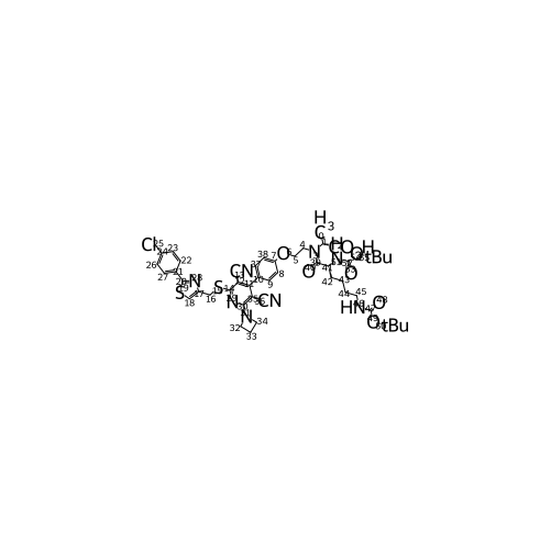 C[C@@H](C(=O)O)N(CCOc1ccc(-c2c(C#N)c(SCc3csc(-c4ccc(Cl)cc4)n3)nc(N3CCC3)c2C#N)cc1)C(=O)[C@H](CCCCNC(=O)OC(C)(C)C)NC(=O)OC(C)(C)C